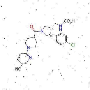 N#Cc1ccc(N2CCC(C(=O)N3C[C@H](CNC(=O)O)[C@H](c4ccc(Cl)cc4)C3)CC2)nc1